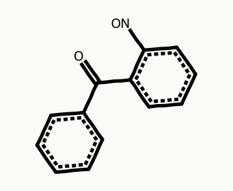 O=Nc1ccccc1C(=O)c1ccccc1